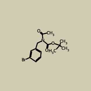 CC(=O)N(Cc1cccc(Br)c1)C(=O)OC(C)(C)C